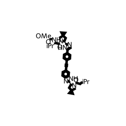 COC(=O)N[C@H](C(=O)N1CC2(CC2)C[C@H]1c1ncc(-c2ccc(C#Cc3ccc4nc([C@@H]5CC6(CC6)CN5C(=O)CC(C)C)[nH]c4c3)cc2)[nH]1)C(C)C